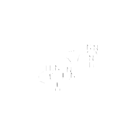 Cc1ccc(-c2nnc[nH]2)cc1-n1ncc(C(=O)c2ccccc2)c1N